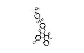 COC(=O)c1c(Cc2ccc(S(=O)(=O)N3CCN(B(C)O)CC3)cc2)c(=O)c2ccc(Cl)cc2n1-c1ccccc1